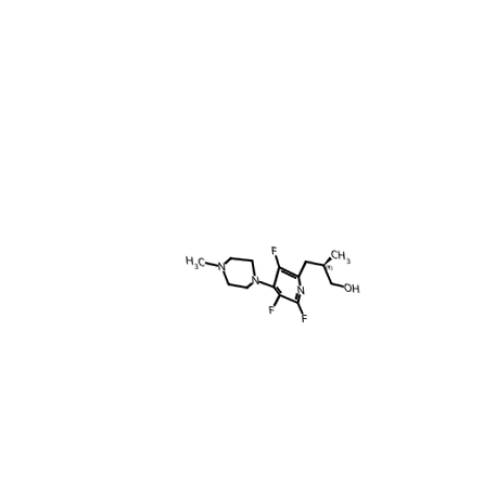 C[C@@H](CO)Cc1nc(F)c(F)c(N2CCN(C)CC2)c1F